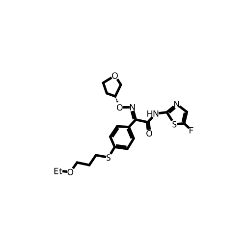 CCOCCCSc1ccc(/C(=N\O[C@@H]2CCOC2)C(=O)Nc2ncc(F)s2)cc1